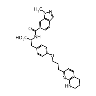 Cn1ncc2ccc(C(=O)N[C@@H](Cc3ccc(OCCCc4ccc5c(n4)NCCC5)cc3)C(=O)O)cc21